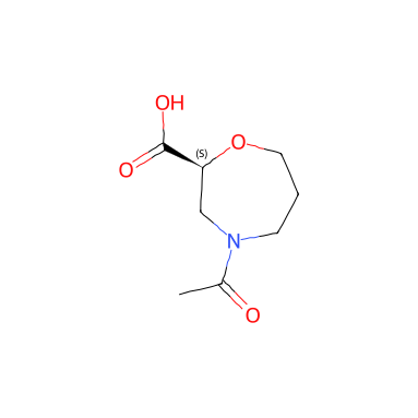 CC(=O)N1CCCO[C@H](C(=O)O)C1